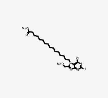 COCc1nc2nc(Cl)nc(Cl)c2n1CCCCCCCCCCCCCCCC(=O)OC